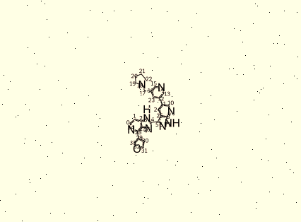 c1cc2[nH]c(-c3n[nH]c4ncc(-c5cncc(CN6CCCC6)c5)cc34)nc2c(-c2ccoc2)n1